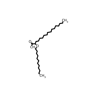 CCCCCCCCCCCCCCCC(OCCCCCCCCCCCC)C(C)=O